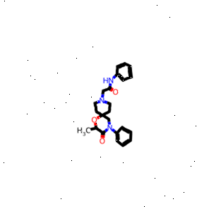 CC1OC2(CCN(CC(=O)Nc3ccccc3)CC2)CN(c2ccccc2)C1=O